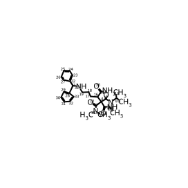 CNC(=O)C(C(=O)NC(C)C)(C(=O)N(C)C)C(CCCNC(c1ccccc1)c1ccccc1)C(N)=O